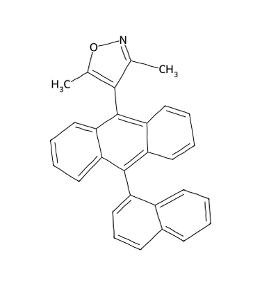 Cc1noc(C)c1-c1c2ccccc2c(-c2cccc3ccccc23)c2ccccc12